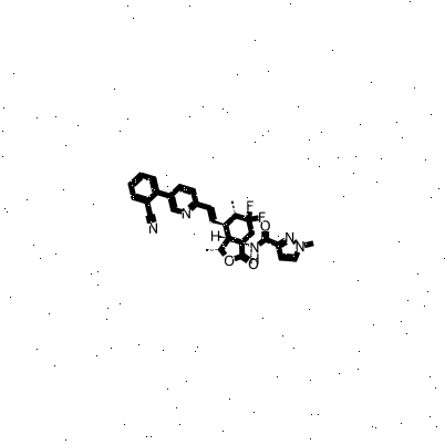 C[C@H]1OC(=O)[C@]2(NC(=O)c3ccn(C)n3)CC(F)(F)[C@@H](C)[C@H](/C=C/c3ccc(-c4ccccc4C#N)cn3)[C@H]12